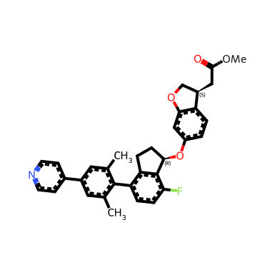 COC(=O)C[C@@H]1COc2cc(O[C@@H]3CCc4c(-c5c(C)cc(-c6ccncc6)cc5C)ccc(F)c43)ccc21